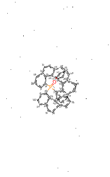 O=P(c1cccc2ccc3ccccc3c12)(c1cccc2ccc3ccccc3c12)c1cccc2ccc3ccccc3c12